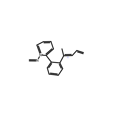 C=C/C=C(\C)c1ccccc1-c1cccc[n+]1N=C